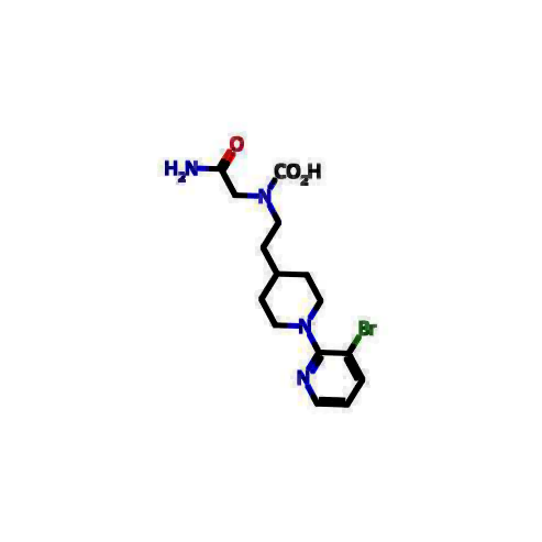 NC(=O)CN(CCC1CCN(c2ncccc2Br)CC1)C(=O)O